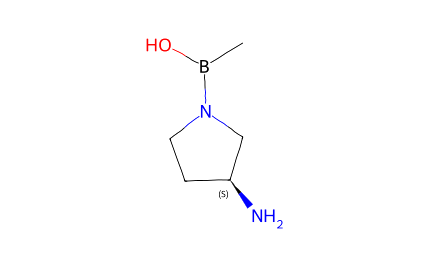 CB(O)N1CC[C@H](N)C1